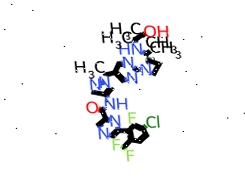 CC(NC(C)C(C)(C)O)[C@@H]1CCN1c1ncc(C(C)n2cc(NC(=O)c3cncc(-c4c(C(F)F)ccc(Cl)c4F)n3)cn2)cn1